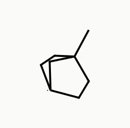 CC12CC[C](CC1)C2